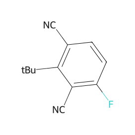 CC(C)(C)c1c(C#N)ccc(F)c1C#N